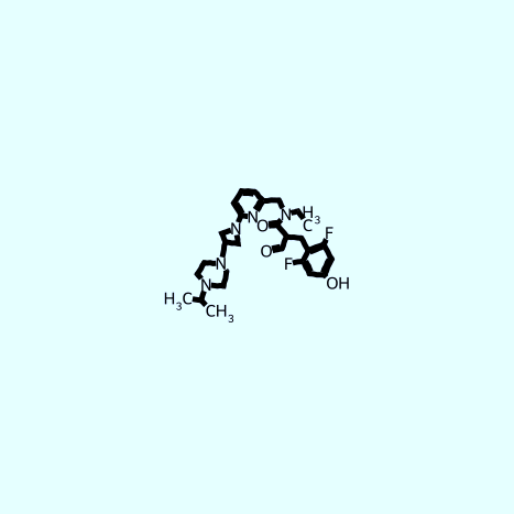 CCN(Cc1cccc(N2CC(N3CCN(C(C)C)CC3)C2)n1)C(=O)C(C=O)Cc1c(F)cc(O)cc1F